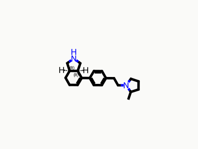 CC1CCCN1CCc1ccc(C2=CCC[C@H]3CNC[C@@H]23)cc1